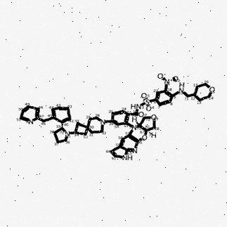 O=C(NS(=O)(=O)c1ccc(NCC2CCOCC2)c([N+](=O)[O-])c1)c1ccc(N2CCC3(CC2)CC(N2CCC[C@H]2c2ccccc2Cc2ccccn2)C3)cc1N1c2cc3cc[nH]c3nc2O[C@@H]2COC[C@H]21